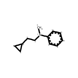 CN(CCC1CC1)c1[c]cccc1